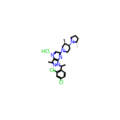 Cc1nn(C(C)c2ccc(Cl)cc2Cl)c2nc(N3CC[C@H](N4CCC[C@@H]4C)[C@H](C)C3)cnc12.Cl